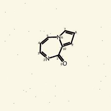 O=c1ncccn2cccc12